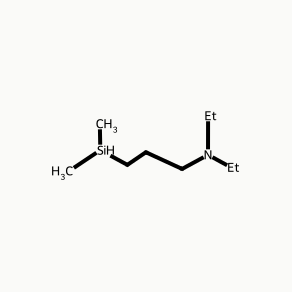 CCN(CC)CCC[SiH](C)C